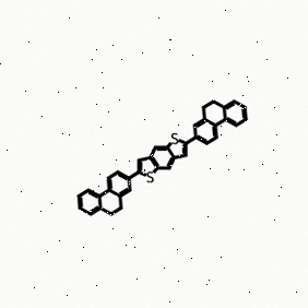 c1ccc2c(c1)CCc1cc(-c3cc4cc5sc(-c6ccc7c(c6)CCc6ccccc6-7)cc5cc4s3)ccc1-2